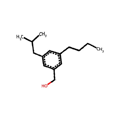 CCCCc1cc([CH]O)cc(CC(C)C)c1